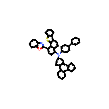 c1ccc(-c2ccc(N(c3ccc4c5ccccc5c5ccccc5c4c3)c3ccc(-c4nc5ccccc5o4)c4c3ccc3c5ccccc5sc34)cc2)cc1